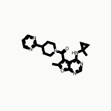 Cc1oc2ncnc(NC3(C)CC3)c2c1C(=O)N1CCC(c2ncccn2)CC1